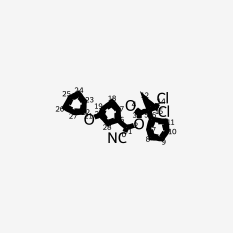 N#CC(OC(=O)C1(c2ccccc2)CC1(Cl)Cl)c1cccc(Oc2ccccc2)c1